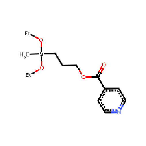 CCO[Si](C)(CCCOC(=O)c1ccncc1)OCC